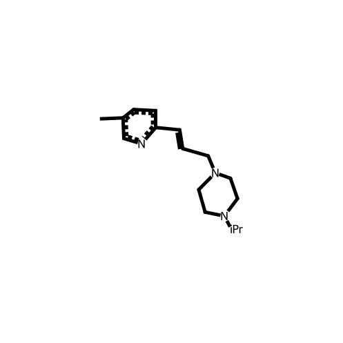 Cc1ccc(/C=C/CN2CCN(C(C)C)CC2)nc1